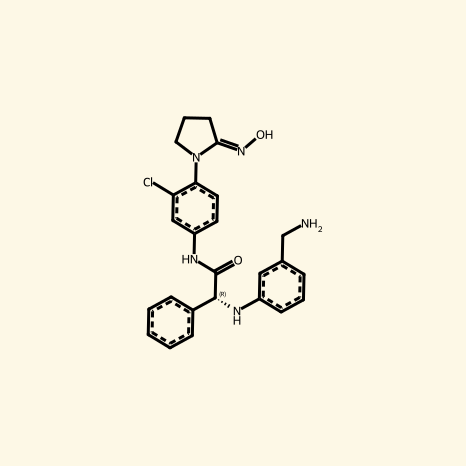 NCc1cccc(N[C@@H](C(=O)Nc2ccc(N3CCCC3=NO)c(Cl)c2)c2ccccc2)c1